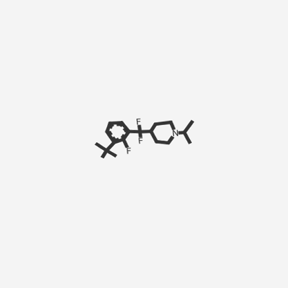 CC(C)N1CCC(C(F)(F)c2cccc(C(C)(C)C)c2F)CC1